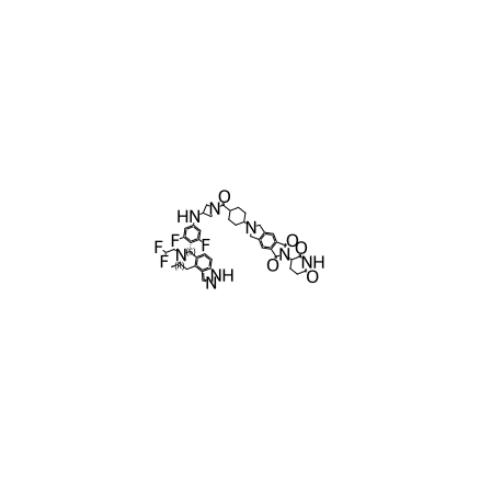 C[C@@H]1Cc2c(ccc3[nH]ncc23)[C@@H](c2c(F)cc(NC3CN(C(=O)C4CCC(N5Cc6cc7c(cc6C5)C(=O)N(C5CCC(=O)NC5=O)C7=O)CC4)C3)cc2F)N1CC(F)F